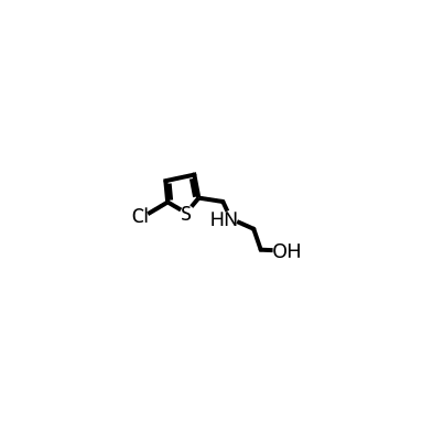 OCCNCc1ccc(Cl)s1